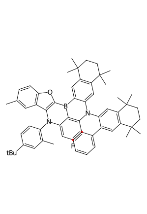 Cc1ccc2oc3c(c2c1)N(c1ccc(C(C)(C)C)cc1C)c1cc(F)cc2c1B3c1cc3c(cc1N2c1cc2c(cc1-c1ccccc1)C(C)(C)CCC2(C)C)C(C)(C)CCC3(C)C